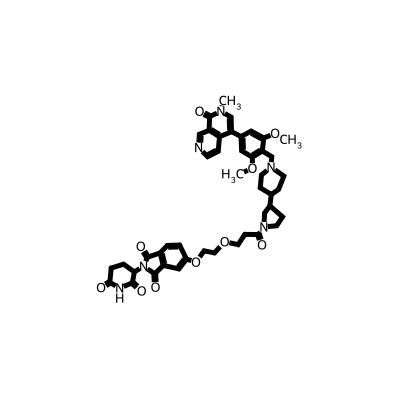 COc1cc(-c2cn(C)c(=O)c3cnccc23)cc(OC)c1CN1CCC(C2CCN(C(=O)CCOCCOc3ccc4c(c3)C(=O)N(C3CCC(=O)NC3=O)C4=O)C2)CC1